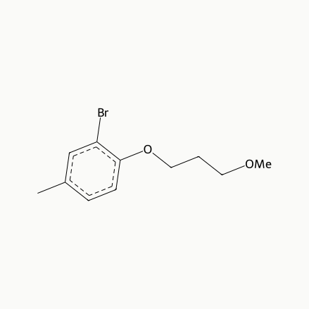 COCCCOc1ccc(C)cc1Br